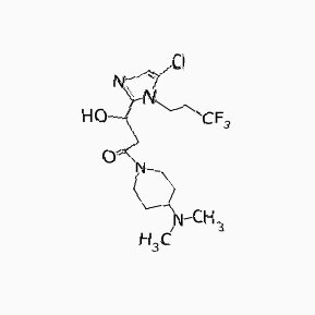 CN(C)C1CCN(C(=O)CC(O)c2ncc(Cl)n2CCC(F)(F)F)CC1